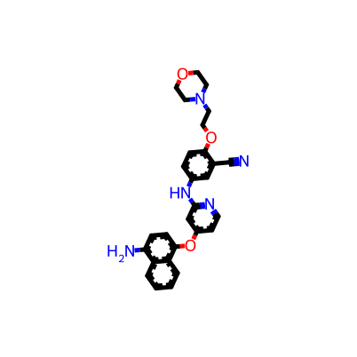 N#Cc1cc(Nc2cc(Oc3ccc(N)c4ccccc34)ccn2)ccc1OCCN1CCOCC1